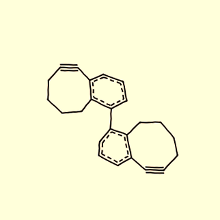 C1#Cc2cccc(-c3cccc4c3CCCCC#C4)c2CCCC1